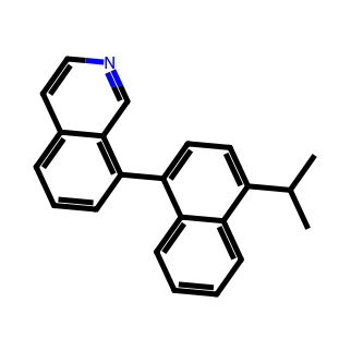 CC(C)c1ccc(-c2cccc3ccncc23)c2ccccc12